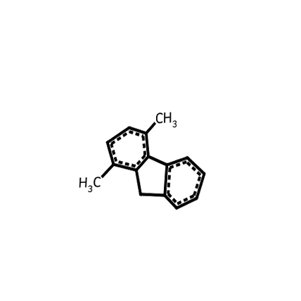 Cc1ccc(C)c2c1Cc1ccccc1-2